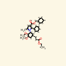 CCOC(=O)CCc1cc(OC)c(OC)c(-n2c(C)cc(C(=O)OCc3ccccc3)c2-c2ccccc2)c1